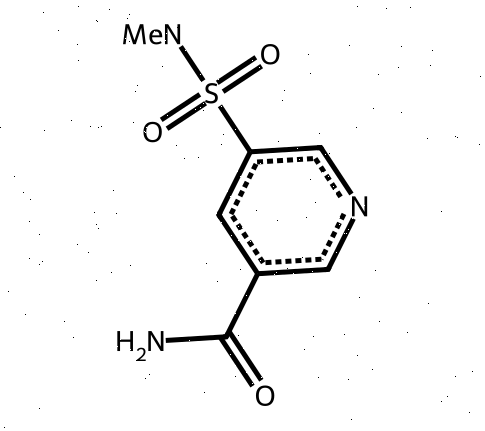 CNS(=O)(=O)c1cncc(C(N)=O)c1